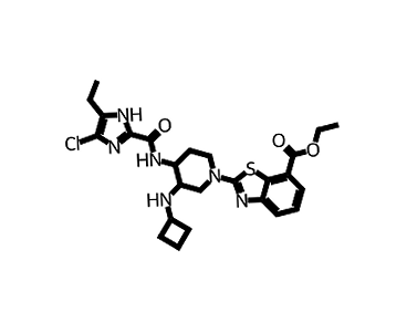 CCOC(=O)c1cccc2nc(N3CCC(NC(=O)c4nc(Cl)c(CC)[nH]4)C(NC4CCC4)C3)sc12